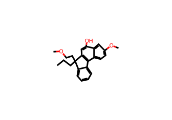 CCCC1(CCOC)c2ccccc2-c2c1cc(O)c1cc(OC)ccc21